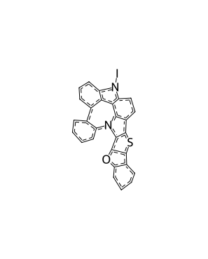 In1c2cccc3c4ccccc4n4c5c6oc7ccccc7c6sc5c5ccc1c(c32)c54